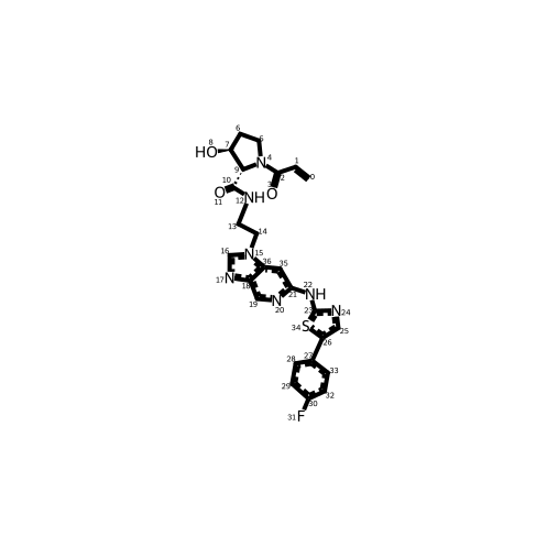 C=CC(=O)N1CC[C@H](O)[C@H]1C(=O)NCCn1cnc2cnc(Nc3ncc(-c4ccc(F)cc4)s3)cc21